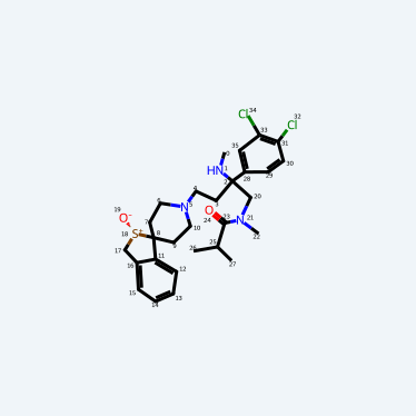 CNC(CCN1CCC2(CC1)c1ccccc1C[S@+]2[O-])(CN(C)C(=O)C(C)C)c1ccc(Cl)c(Cl)c1